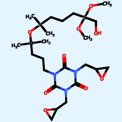 CO[Si](CO)(CCC[Si](C)(C)O[Si](C)(C)CCCn1c(=O)n(CC2CO2)c(=O)n(CC2CO2)c1=O)OC